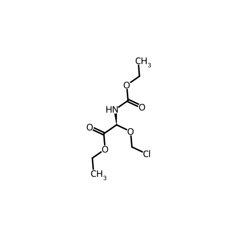 CCOC(=O)N[C@@H](OCCl)C(=O)OCC